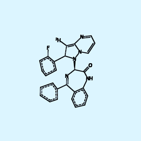 [2H]C1=C2N=CC=CN2N([C@@H]2N=C(c3ccccc3)c3ccccc3NC2=O)C1c1ccccc1F